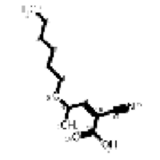 CCCCCCOC(C)C=C(C#N)C(=O)O